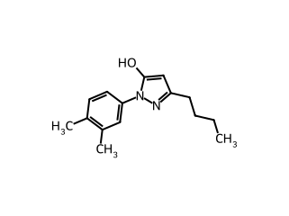 CCCCc1cc(O)n(-c2ccc(C)c(C)c2)n1